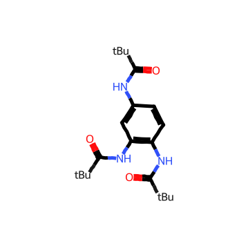 CC(C)(C)C(=O)Nc1ccc(NC(=O)C(C)(C)C)c(NC(=O)C(C)(C)C)c1